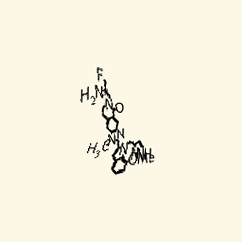 COc1cccc2cc(-c3nc4cc5c(cc4n3C)CCN(C[C@H](N)CF)C5=O)n(Cc3cc[nH]n3)c12